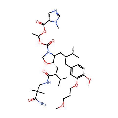 COCCCOc1cc(C[C@@H](C[C@H]2[C@H](C[C@H](C(=O)NCC(C)(C)C(N)=O)C(C)C)OCN2C(=O)OC(C)OC(=O)c2cncn2C)C(C)C)ccc1OC